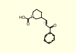 O=C(/C=C/C1CCCN(C(=O)O)C1)c1ccccc1